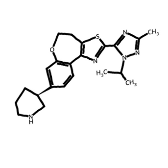 Cc1nc(-c2nc3c(s2)CCOc2cc([C@@H]4CCCNC4)ccc2-3)n(C(C)C)n1